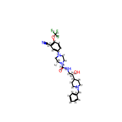 C[C@@H]1CN(c2ccc(OC(F)(F)F)c(C#N)c2)CCN1C(=O)NC[C@H](O)C1CCN(Cc2ccccc2)CC1